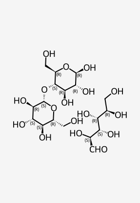 O=C[C@@H](O)[C@@H](O)[C@H](O)[C@H](O)CO.OC[C@H]1O[C@@H](O[C@H]2[C@H](O)[C@@H](O)[C@H](O)O[C@@H]2CO)[C@H](O)[C@@H](O)[C@@H]1O